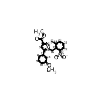 COC(=O)c1cc(-c2cccc(OC)c2)n(Cc2c(F)cccc2[N+](=O)[O-])n1